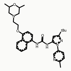 Cc1ccc(-n2nc(C(C)(C)C)cc2NC(=O)Nc2ccc(OCCN3CC(C)OC(C)C3)c3ccccc23)cn1